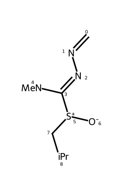 C=N/N=C(\NC)[S+]([O-])CC(C)C